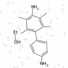 CCO.Cc1c(C)c(-c2ccc(N)cc2)c(C)c(C)c1N